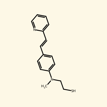 CN(CCS)c1ccc(/C=C/c2ccccn2)cc1